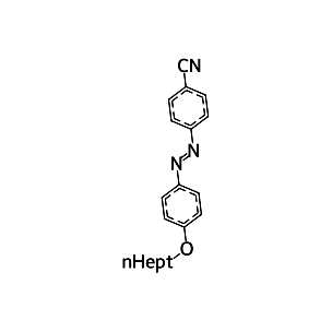 CCCCCCCOc1ccc(N=Nc2ccc(C#N)cc2)cc1